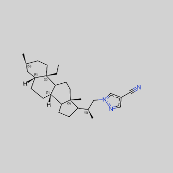 CC[C@]12CC[C@H](C)C[C@H]1CC[C@H]1C3CCC([C@H](C)Cn4cc(C#N)cn4)[C@@]3(C)CCC12